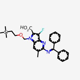 Cc1cc2c(nc1N=C(c1ccccc1)c1ccccc1)c(F)c(C(=O)O)n2COCC[Si](C)(C)C